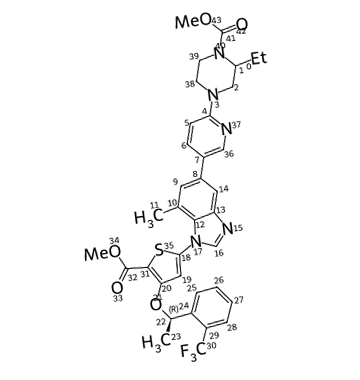 CCC1CN(c2ccc(-c3cc(C)c4c(c3)ncn4-c3cc(O[C@H](C)c4ccccc4C(F)(F)F)c(C(=O)OC)s3)cn2)CCN1C(=O)OC